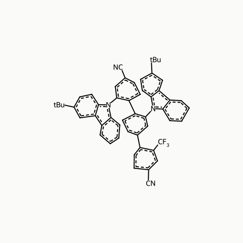 CC(C)(C)c1ccc2c(c1)c1ccccc1n2-c1cc(C#N)ccc1-c1ccc(-c2ccc(C#N)cc2C(F)(F)F)cc1-n1c2ccccc2c2cc(C(C)(C)C)ccc21